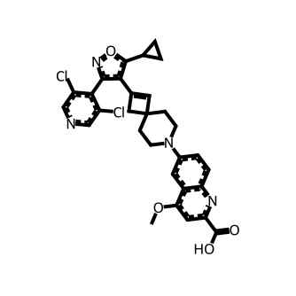 COc1cc(C(=O)O)nc2ccc(N3CCC4(C=C(c5c(-c6c(Cl)cncc6Cl)noc5C5CC5)C4)CC3)cc12